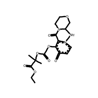 CCOC(=O)C(C)(C)OC(=O)Oc1c2n(ccc1=O)NC1COCCN1C2=O